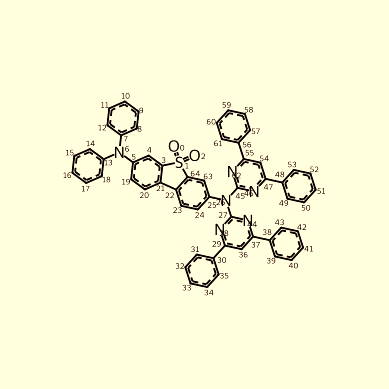 O=S1(=O)c2cc(N(c3ccccc3)c3ccccc3)ccc2-c2ccc(N(c3nc(-c4ccccc4)cc(-c4ccccc4)n3)c3nc(-c4ccccc4)cc(-c4ccccc4)n3)cc21